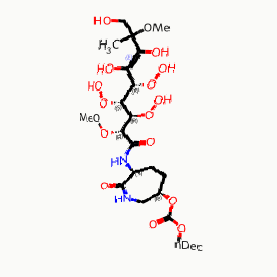 CCCCCCCCCCOC(=O)O[C@@H]1CC[C@H](NC(=O)[C@H](OOC)[C@H](OO)[C@H](OO)[C@@H](OO)/C(O)=C(\O)C(C)(CO)OC)C(=O)NC1